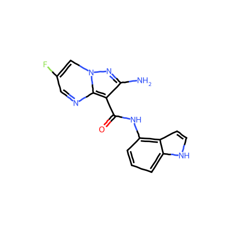 Nc1nn2cc(F)cnc2c1C(=O)Nc1cccc2[nH]ccc12